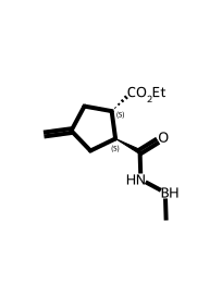 C=C1C[C@H](C(=O)NBC)[C@@H](C(=O)OCC)C1